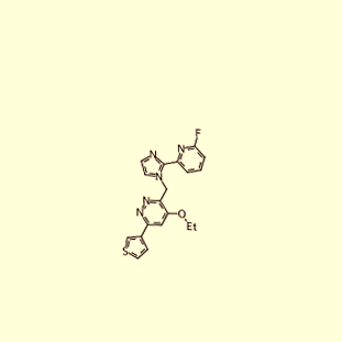 CCOc1cc(-c2ccsc2)nnc1Cn1ccnc1-c1cccc(F)n1